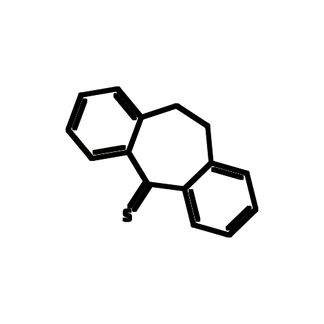 S=C1c2ccccc2CCc2ccccc21